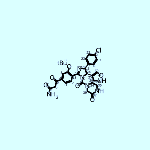 CC(C)(C)Oc1cc(C(=O)CC(N)=O)ccc1C1=N[C@@H](c2ccc(Cl)cc2)[C@@H](C2=CONC2)N1C(=O)N1CCNC(=O)C1